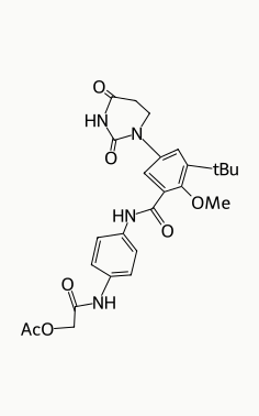 COc1c(C(=O)Nc2ccc(NC(=O)COC(C)=O)cc2)cc(N2CCC(=O)NC2=O)cc1C(C)(C)C